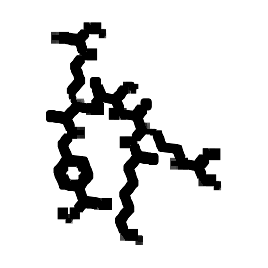 CC(C)C(NC(=O)[C@H](CCCNC(=N)N)NC(=O)CCCCCN)C(=O)N[C@@H](CCCNC(=N)N)C(=O)NCc1ccc(C(=N)N)cc1